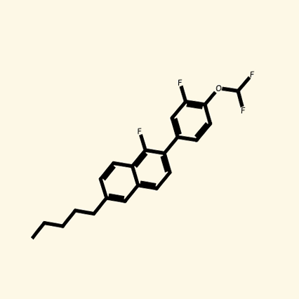 CCCCCc1ccc2c(F)c(-c3ccc(OC(F)F)c(F)c3)ccc2c1